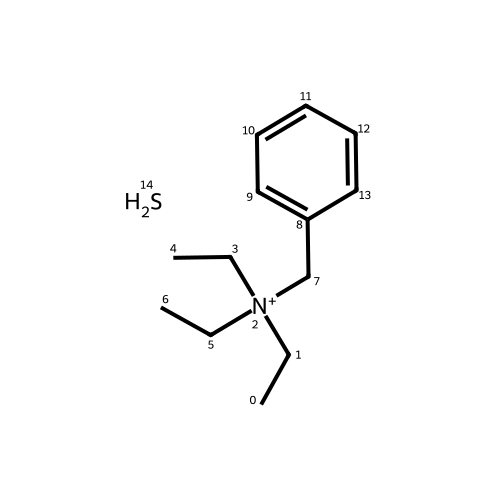 CC[N+](CC)(CC)Cc1ccccc1.S